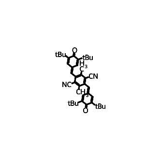 Cc1c(C#N)c(C=C2C=C(C(C)(C)C)C(=O)C(C(C)(C)C)=C2)c(C)c(C#N)c1C=C1C=C(C(C)(C)C)C(=O)C(C(C)(C)C)=C1